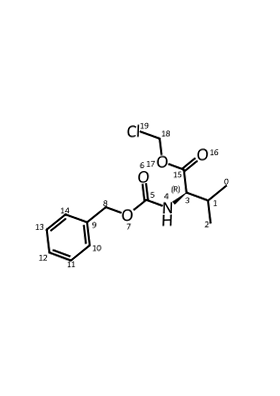 CC(C)[C@@H](NC(=O)OCc1ccccc1)C(=O)OCCl